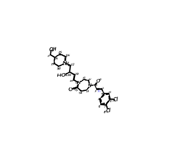 O=C(/C=C/c1ccc(Cl)c(Cl)c1)N1CCC(=O)N(CCC(O)CN2CCC(CO)CC2)CC1